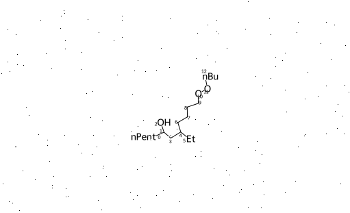 CCCCCC(O)CC(CC)CCCCOOCCCC